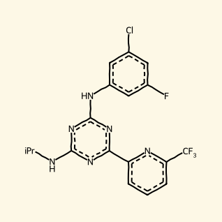 CC(C)Nc1nc(Nc2cc(F)cc(Cl)c2)nc(-c2cccc(C(F)(F)F)n2)n1